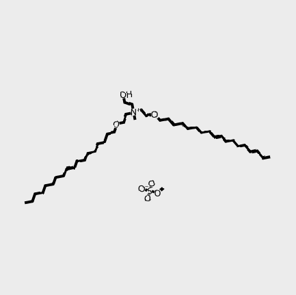 CCCCCCCCC=CCCCCCCCCOCC[N+](C)(CCO)CCOCCCCCCCCC=CCCCCCCCC.COS(=O)(=O)[O-]